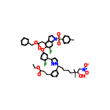 CCOC(=O)CCc1cccc(C(CCCCC(C)(C)C(O)C[N+](=O)[O-])n2ccc(-c3cc(Oc4c(F)cc5c(ccn5S(=O)(=O)c5ccc(C)cc5)c4CC(=O)OCc4ccccc4)ccc3F)n2)c1